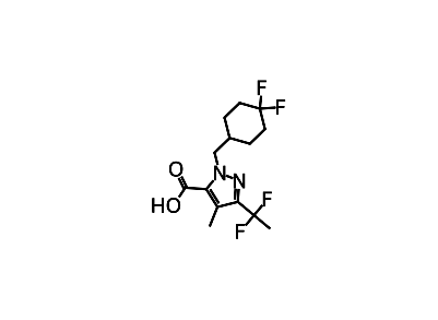 Cc1c(C(C)(F)F)nn(CC2CCC(F)(F)CC2)c1C(=O)O